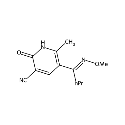 CCCC(=NOC)c1cc(C#N)c(=O)[nH]c1C